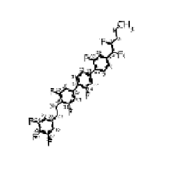 CCC/C(F)=C(\F)c1ccc(-c2ccc(-c3cc(F)c(CCc4cc(F)c(F)c(F)c4)c(F)c3)c(F)c2)c(F)c1